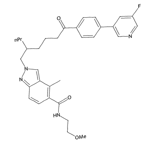 CCCC(CCCC(=O)c1ccc(-c2cncc(F)c2)cc1)Cn1cc2c(C)c(C(=O)NCCOC)ccc2n1